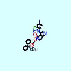 CC(C)(C)[Si](OCCOn1ccc2cncc(Nc3ccc(I)cc3F)c2c1=O)(c1ccccc1)c1ccccc1